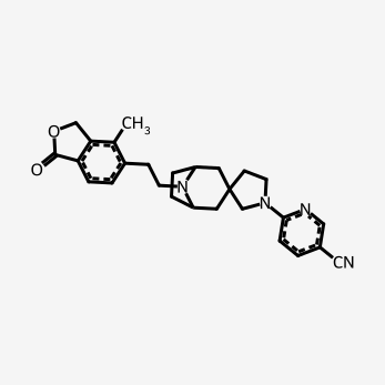 Cc1c(CCN2C3CCC2CC2(CCN(c4ccc(C#N)cn4)C2)C3)ccc2c1COC2=O